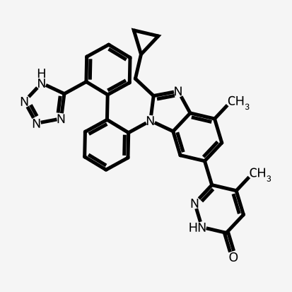 Cc1cc(=O)[nH]nc1-c1cc(C)c2nc(CC3CC3)n(-c3ccccc3-c3ccccc3-c3nnn[nH]3)c2c1